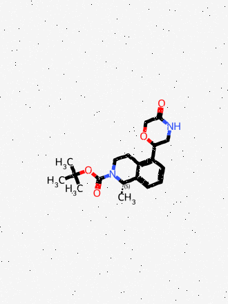 C[C@H]1c2cccc(C3CNC(=O)CO3)c2CCN1C(=O)OC(C)(C)C